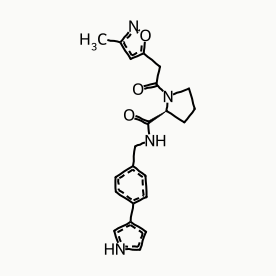 Cc1cc(CC(=O)N2CCC[C@H]2C(=O)NCc2ccc(-c3cc[nH]c3)cc2)on1